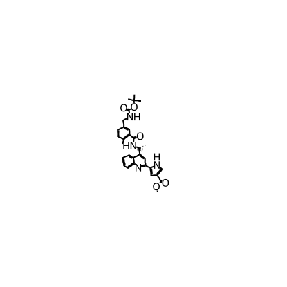 COC(=O)c1c[nH]c(-c2cc([C@@H](C)NC(=O)c3cc(CNC(=O)OC(C)(C)C)ccc3C)c3ccccc3n2)c1